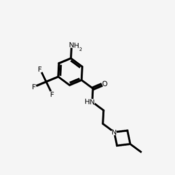 CC1CN(CCNC(=O)c2cc(N)cc(C(F)(F)F)c2)C1